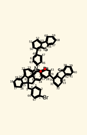 Brc1ccc(CC2(Cc3ccc(Br)cc3)c3ccccc3-c3ccc(N(c4ccc(-c5cccc6c5sc5ccccc56)cc4)c4ccc(-c5cccc6c5sc5ccccc56)cc4)cc32)cc1